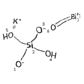 [K+].[O-][Si]([O-])(O)O.[O]=[Bi+]